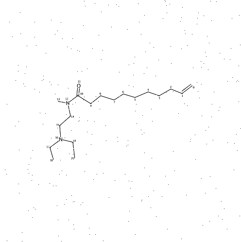 C=CCCCCCCCCC(=O)N(C)CCN(CC)CC